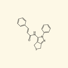 O=C(/C=C/c1ccccc1)Nc1c2c(nn1-c1ccccc1)CSC2